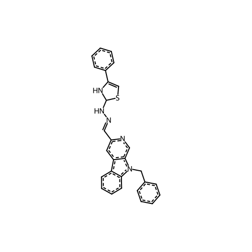 C1=C(c2ccccc2)NC(N/N=C/c2cc3c4ccccc4n(Cc4ccccc4)c3cn2)S1